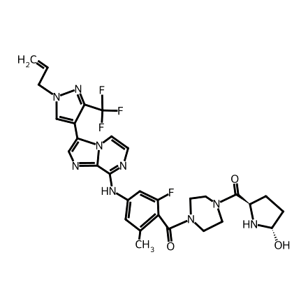 C=CCn1cc(-c2cnc3c(Nc4cc(C)c(C(=O)N5CCN(C(=O)[C@H]6CC[C@H](O)N6)CC5)c(F)c4)nccn23)c(C(F)(F)F)n1